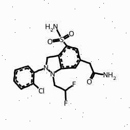 NC(=O)Cc1cc2c(c(S(N)(=O)=O)c1)CN(c1ccccc1Cl)N2CC(F)F